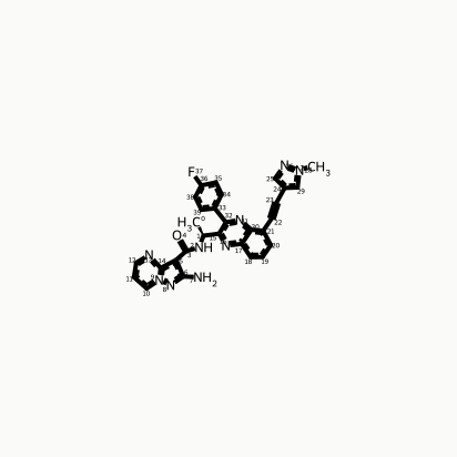 C[C@H](NC(=O)c1c(N)nn2cccnc12)c1nc2cccc(C#Cc3cnn(C)c3)c2nc1-c1ccc(F)cc1